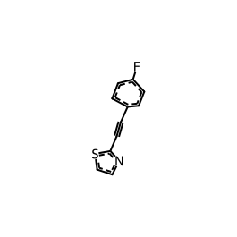 Fc1ccc(C#Cc2nccs2)cc1